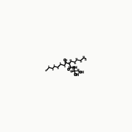 CCCCCCCC(=O)C(CCCCCC)C(=O)NC(C)(O)CO